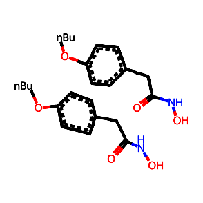 CCCCOc1ccc(CC(=O)NO)cc1.CCCCOc1ccc(CC(=O)NO)cc1